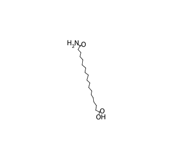 NC(=O)CCCCCCCCCCCCCCCCCC(=O)O